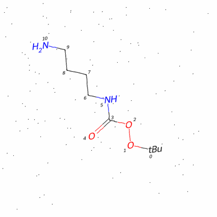 CC(C)(C)OOC(=O)NCCCCN